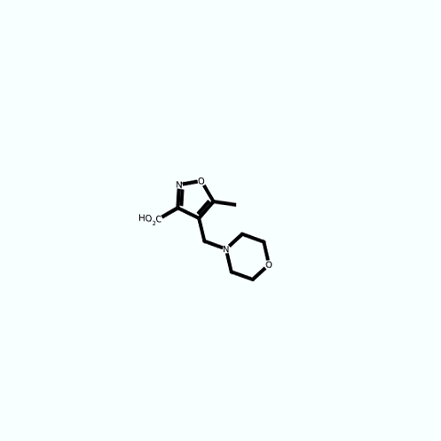 Cc1onc(C(=O)O)c1CN1CCOCC1